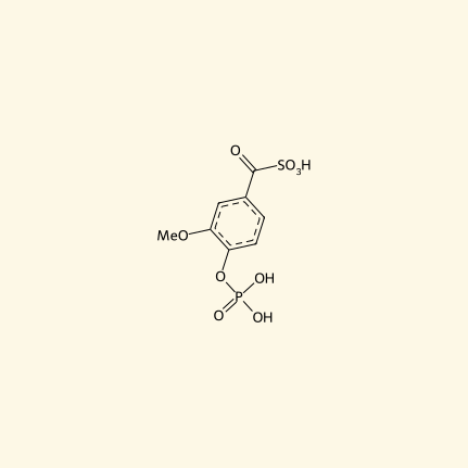 COc1cc(C(=O)S(=O)(=O)O)ccc1OP(=O)(O)O